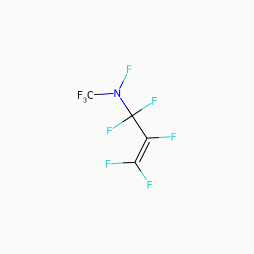 FC(F)=C(F)C(F)(F)N(F)C(F)(F)F